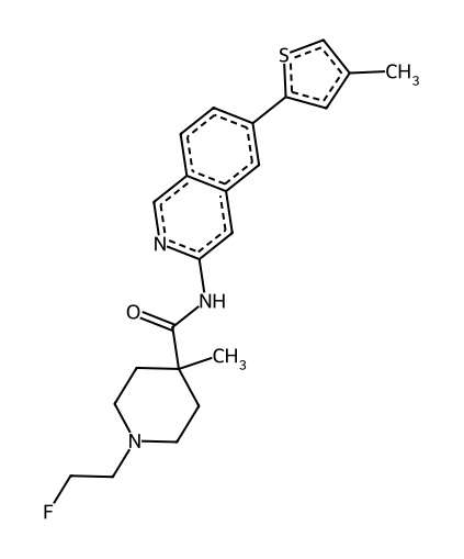 Cc1csc(-c2ccc3cnc(NC(=O)C4(C)CCN(CCF)CC4)cc3c2)c1